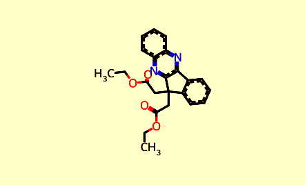 CCOC(=O)CC1(CC(=O)OCC)c2ccccc2-c2nc3ccccc3nc21